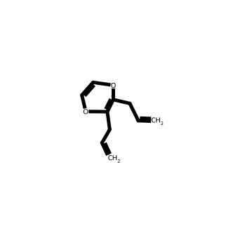 C=CCC1=C(CC=C)OC=CO1